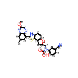 COc1cnc2c(-c3nc4ccc5c(c4s3)C[C@](C)(CN(C(=O)O)c3cccc(C#N)c3)O5)cc(C)cc2n1